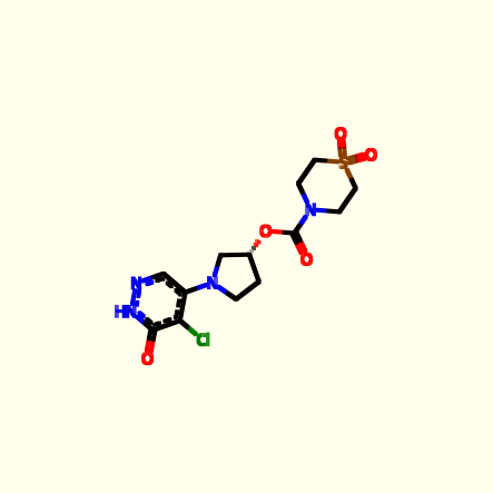 O=C(O[C@@H]1CCN(c2cn[nH]c(=O)c2Cl)C1)N1CCS(=O)(=O)CC1